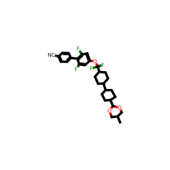 CC1COC(C2CCC(C3CCC(C(F)(F)Oc4cc(F)c(-c5ccc(C#N)cc5)c(F)c4)CC3)CC2)OC1